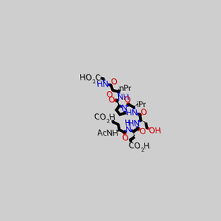 CCCC(NC(=O)[C@@H]1CCCN1C(=O)[C@@H](NC(=O)[C@H](CCO)NC(=O)[C@H](CCC(=O)O)NC(=O)[C@H](CCC(=O)O)NC(C)=O)C(C)C)C(=O)C(=O)NCC(=O)O